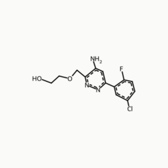 Nc1cc(-c2cc(Cl)ccc2F)nnc1COCCO